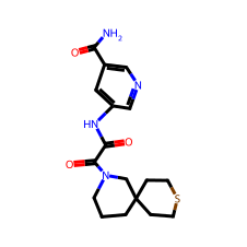 NC(=O)c1cncc(NC(=O)C(=O)N2CCCC3(CCSCC3)C2)c1